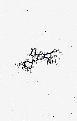 C=C/C=C(Sc1cnc(N2CCC(C)(N)CC2)n2ccnc12)\C(Cl)=C(/C)N